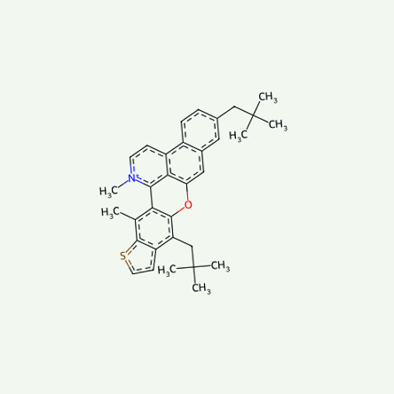 Cc1c2c(c(CC(C)(C)C)c3ccsc13)Oc1cc3cc(CC(C)(C)C)ccc3c3cc[n+](C)c-2c13